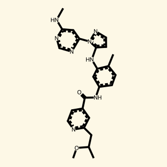 CNc1cc(-n2nccc2Nc2cc(NC(=O)c3ccnc(CC(C)OC)c3)ccc2C)ncn1